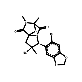 CN1C(=O)C23C[C@](C)(C#N)[C@H](c4cc5c(cc4Br)OCO5)N2C(=O)C1(C)S3